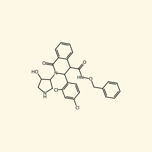 O=C(NOCc1ccccc1)C1c2ccccc2C(=O)N(C2CNCC2O)C1c1ccc(Cl)cc1Cl